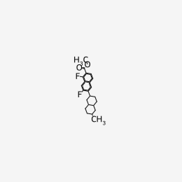 COC(=O)c1ccc2cc(C3CCC4CC(C)CCC4C3)c(F)cc2c1F